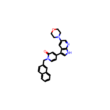 O=c1cc(-c2c[nH]c3ncc(N4CCOCC4)cc23)ccn1Cc1ccc2ccccc2c1